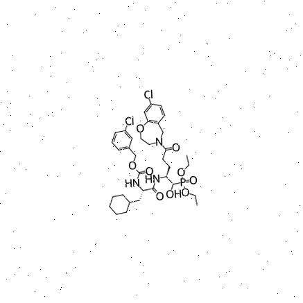 CCOP(=O)(OCC)C(O)[C@H](CCC(=O)N1CCOc2cc(Cl)ccc2C1)NC(=O)[C@H](CC1CCCCC1)NC(=O)OCc1cccc(Cl)c1